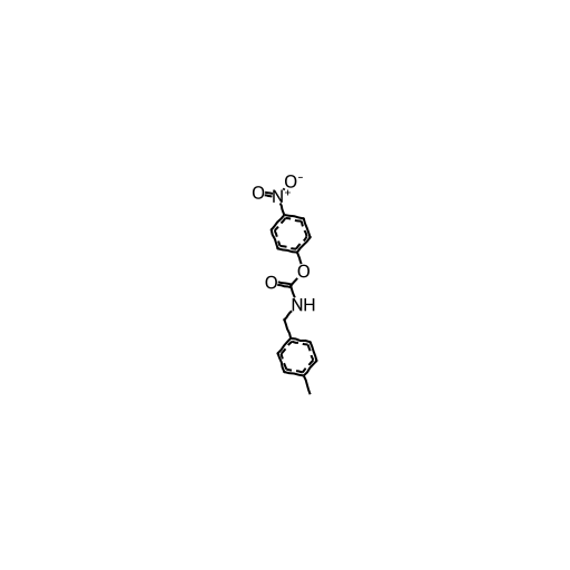 Cc1ccc(CNC(=O)Oc2ccc([N+](=O)[O-])cc2)cc1